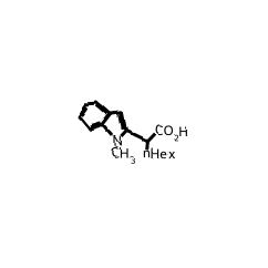 CCCCCCC(C(=O)O)c1cc2ccccc2n1C